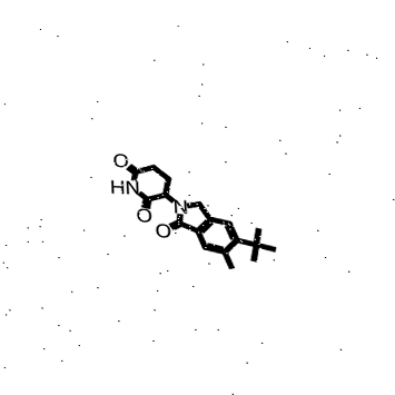 Cc1cc2c(cc1C(C)(C)C)CN(C1CCC(=O)NC1=O)C2=O